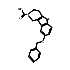 O=C(O)N1CCc2[nH]c3ccc(OCc4ccccc4)cc3c2C1